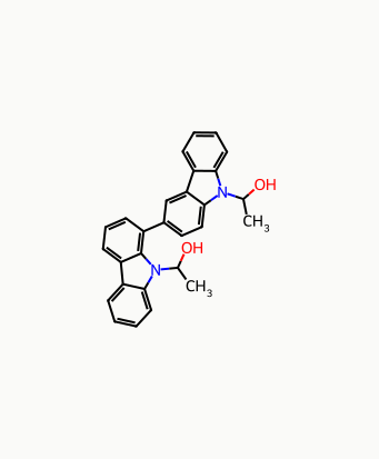 CC(O)n1c2ccccc2c2cc(-c3cccc4c5ccccc5n(C(C)O)c34)ccc21